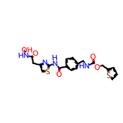 O=C(Cc1csc(NC(=O)c2ccc(CNC(=O)OCc3cccs3)cc2)n1)NO